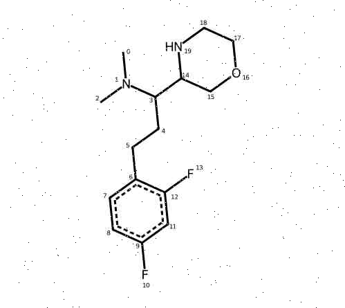 CN(C)C(CCc1ccc(F)cc1F)C1COCCN1